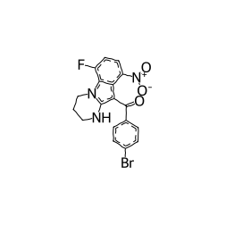 O=C(c1ccc(Br)cc1)c1c2n(c3c(F)ccc([N+](=O)[O-])c13)CCCN2